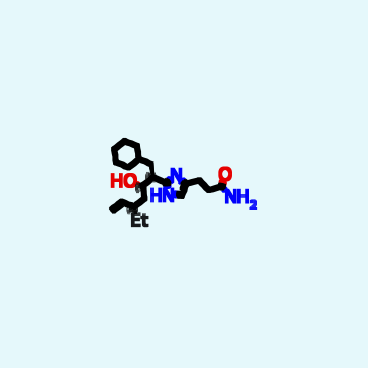 C=C[C@H](CC)C[C@H](O)[C@@H](CC1CCCCC1)c1nc(CCC(N)=O)c[nH]1